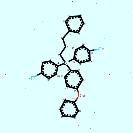 Fc1ccc([B-](CCCc2ccccc2)(c2ccc(F)cc2)c2ccc(Oc3ccccc3)cc2)cc1